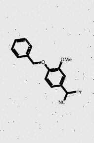 COc1cc(C(C#N)C(C)C)ccc1OCc1ccccc1